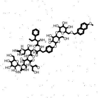 CCC(c1ccccc1)C(N)C(=O)NC(Cc1ccc(OC2OC(CO)C(OC3OC(COCc4ccc5cc(OC)ccc5c4)C(O)C(O)C3O)C(O)C2O)cc1)C(=O)NC(C(=O)NC(C(=O)NC([C]=O)CO)C(O)C1CNC(=N)N1C1OC(CO)C(O)C(O)C1O)C(O)C1CNC(=N)N1